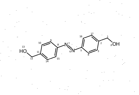 OCc1ccc(N=Nc2ccc(CO)cc2)cc1